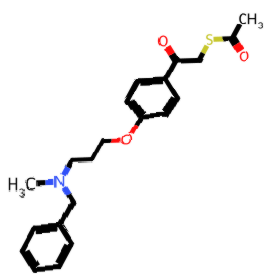 CC(=O)SCC(=O)c1ccc(OCCCN(C)Cc2ccccc2)cc1